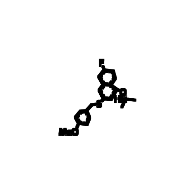 COc1ccc(CSc2cc(O[SiH](C)C)c3ccc(F)cc3c2)cc1